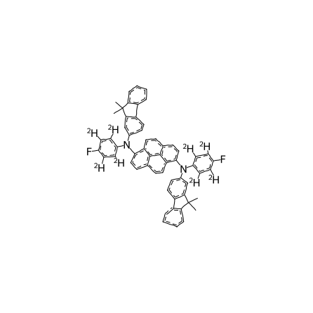 [2H]c1c([2H])c(N(c2ccc3c(c2)C(C)(C)c2ccccc2-3)c2ccc3ccc4c(N(c5ccc6c(c5)C(C)(C)c5ccccc5-6)c5c([2H])c([2H])c(F)c([2H])c5[2H])ccc5ccc2c3c54)c([2H])c([2H])c1F